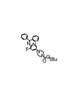 CC(C)(C)OC(=O)N1CCN(c2cnc(N=C(c3ccccc3)c3ccccc3)c(F)c2)CC1